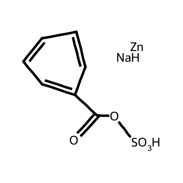 O=C(OS(=O)(=O)O)c1ccccc1.[NaH].[Zn]